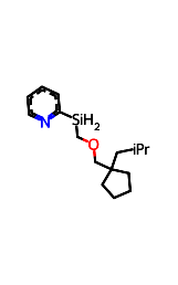 CC(C)CC1(COC[SiH2]c2ccccn2)CCCC1